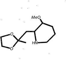 COC1CCCNC1CC1(C)OCCO1